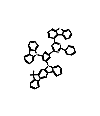 CC1(C)c2ccccc2-c2cc3c4ccccc4n(-c4cc(-c5nc(-c6ccccc6)nc(-c6cccc7oc8ccccc8c67)n5)cc(-n5c6ccccc6c6ccccc65)c4)c3cc21